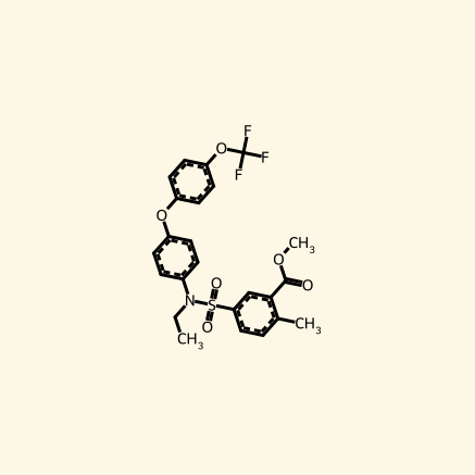 CCN(c1ccc(Oc2ccc(OC(F)(F)F)cc2)cc1)S(=O)(=O)c1ccc(C)c(C(=O)OC)c1